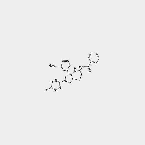 N#Cc1cccc(C23CN(c4ncc(F)cn4)CC2CSC(NC(=O)c2ccccc2)N3)c1